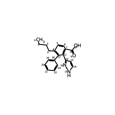 CCCCc1ccc(C(=O)O)c(-c2cc[nH]n2)c1-c1ccccc1